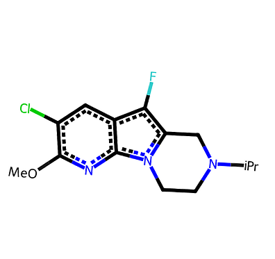 COc1nc2c(cc1Cl)c(F)c1n2CCN(C(C)C)C1